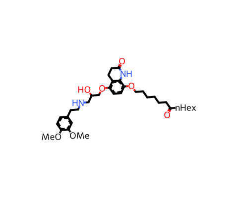 CCCCCCC(=O)CCCCCCOc1ccc(OCC(O)CNCCc2ccc(OC)c(OC)c2)c2c1NC(=O)CC2